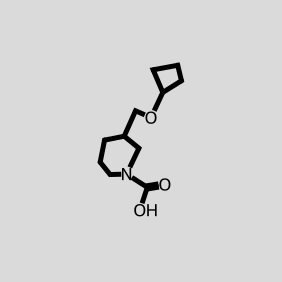 O=C(O)N1CCCC(COC2CCC2)C1